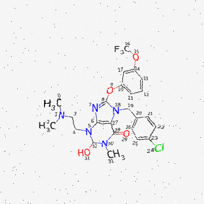 CN(C)CCN1c2nc(Oc3cccc(OC(F)(F)F)c3)n(Cc3ccc(Cl)cc3)c2C(=O)N(C)C1O